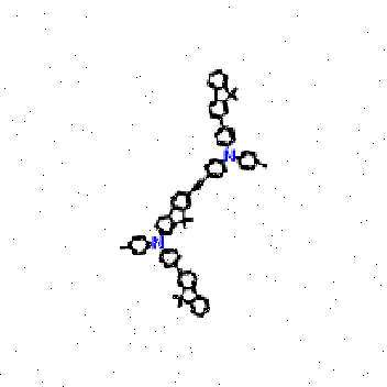 Cc1ccc(N(c2ccc(C#Cc3ccc4c(c3)C(C)(C)c3cc(N(c5ccc(C)cc5)c5ccc(-c6ccc7c(c6)C(C)(C)c6ccccc6-7)cc5)ccc3-4)cc2)c2ccc(-c3ccc4c(c3)C(C)(C)c3ccccc3-4)cc2)cc1